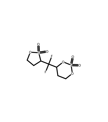 O=S1(=O)OCCC(C(F)(F)C2CCOS2(=O)=O)O1